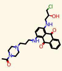 CC(=O)N1CCN(CCCNc2ccc(NC[C@H](O)CCl)c3c2C(=O)c2ccccc2C3=O)CC1